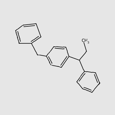 CCC(c1ccccc1)c1ccc(Cc2ccccc2)cc1